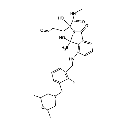 BC1(O)c2c(NCc3cccc(CN4CC(C)OC(C)C4)c3F)cccc2C(=O)N1C(O)(CCC=O)C(=O)NC